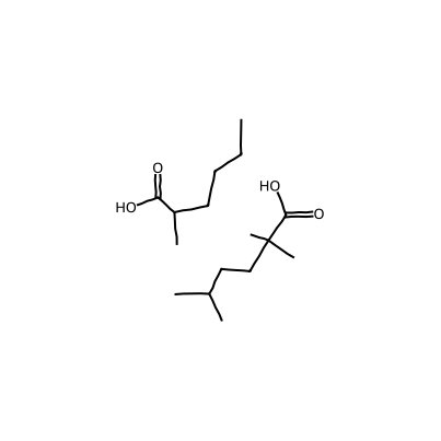 CC(C)CCC(C)(C)C(=O)O.CCCCC(C)C(=O)O